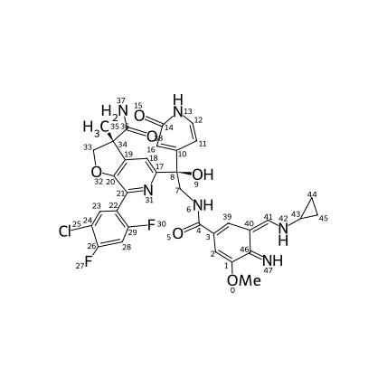 COC1=CC(C(=O)NC[C@@](O)(c2cc[nH]c(=O)c2)c2cc3c(c(-c4cc(Cl)c(F)cc4F)n2)OC[C@]3(C)C(N)=O)=C/C(=C/NC2CC2)C1=N